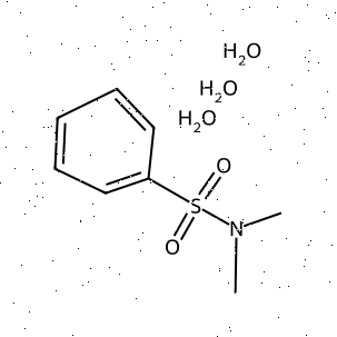 CN(C)S(=O)(=O)c1ccccc1.O.O.O